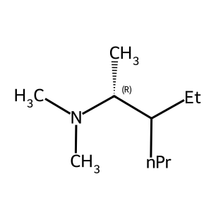 CCCC(CC)[C@@H](C)N(C)C